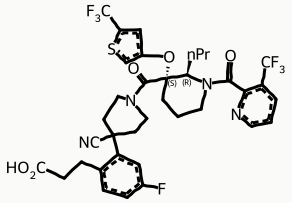 CCC[C@H]1N(C(=O)c2ncccc2C(F)(F)F)CCC[C@@]1(Oc1csc(C(F)(F)F)c1)C(=O)N1CCC(C#N)(c2cc(F)ccc2CCC(=O)O)CC1